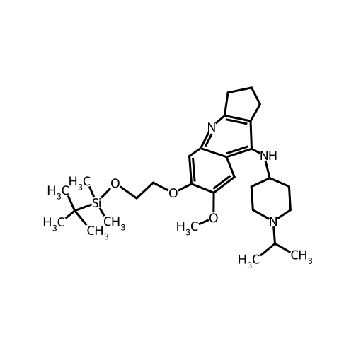 COc1cc2c(NC3CCN(C(C)C)CC3)c3c(nc2cc1OCCO[Si](C)(C)C(C)(C)C)CCC3